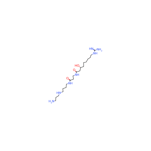 N=C(N)NCCCCCCC(O)CC(=O)NCCC(=O)NCCCCNCCCN